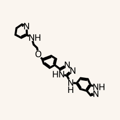 C1=NC(NCCOc2ccc(-c3nnc(Nc4ccc5[nH]ncc5c4)[nH]3)cc2)=CCC1